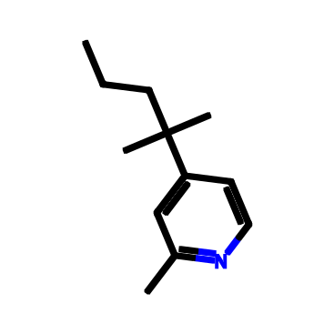 CCCC(C)(C)c1ccnc(C)c1